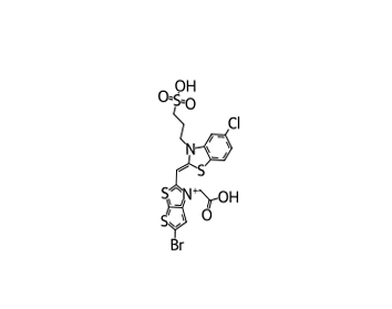 O=C(O)C[n+]1c(C=C2Sc3ccc(Cl)cc3N2CCCS(=O)(=O)O)sc2sc(Br)cc21